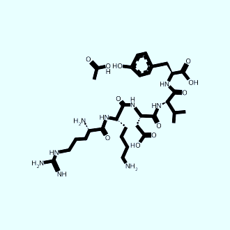 CC(=O)O.CC(C)[C@H](NC(=O)[C@H](CC(=O)O)NC(=O)[C@H](CCCCN)NC(=O)[C@@H](N)CCCNC(=N)N)C(=O)N[C@@H](Cc1ccc(O)cc1)C(=O)O